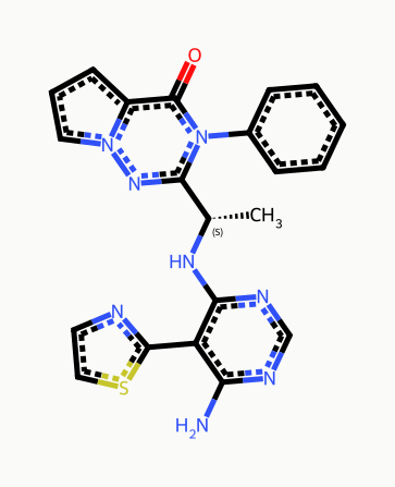 C[C@H](Nc1ncnc(N)c1-c1nccs1)c1nn2cccc2c(=O)n1-c1ccccc1